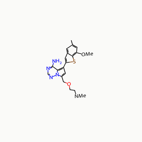 CNCCOCc1cc(-c2cc3cc(C)cc(OC)c3s2)c2c(N)ncnn12